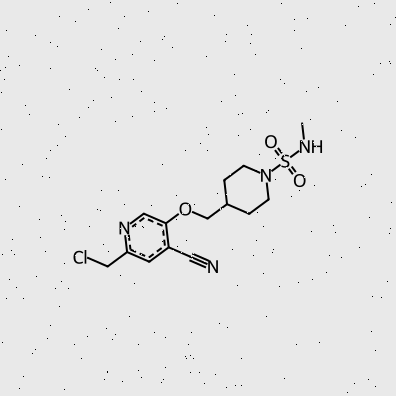 CNS(=O)(=O)N1CCC(COc2cnc(CCl)cc2C#N)CC1